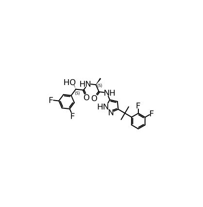 C[C@H](NC(=O)[C@@H](O)c1cc(F)cc(F)c1)C(=O)Nc1cc(C(C)(C)c2cccc(F)c2F)n[nH]1